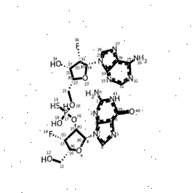 Nc1nc2c(ncn2[C@@H]2O[C@H](CO)[C@H](F)[C@@H]2O[PH](O)(S)OC[C@H]2O[C@@H](n3cnc4c(N)ncnc43)[C@@H](F)[C@H]2O)c(=O)[nH]1